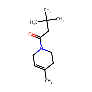 CC1=CCN(C(=O)CC(C)(C)C)CC1